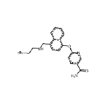 CC(C)(C)CCNCc1ccc(Oc2ccc(C(N)=O)cn2)c2ccccc12